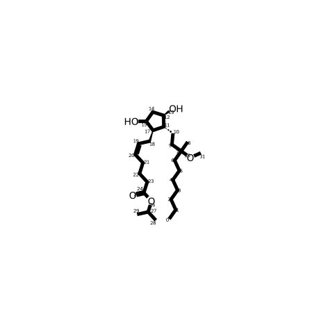 CCCCCCCC(C)(CC[C@H]1[C@H](O)CC(O)[C@@H]1C/C=C\CCCC(=O)OC(C)C)OC